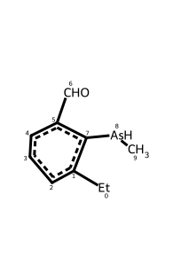 CCc1cccc(C=O)c1[AsH]C